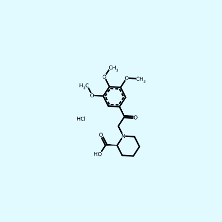 COc1cc(C(=O)CN2CCCC[C@H]2C(=O)O)cc(OC)c1OC.Cl